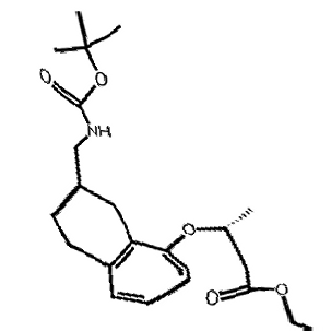 CCOC(=O)[C@@H](C)Oc1cccc2c1CC(CNC(=O)OC(C)(C)C)CC2